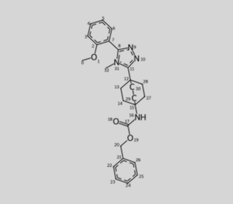 COc1ccccc1-c1nnc(C23CCC(NC(=O)OCc4ccccc4)(CC2)CC3)n1C